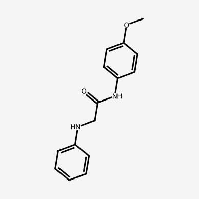 COc1ccc(NC(=O)CNc2ccccc2)cc1